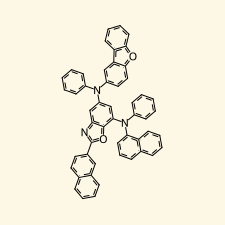 c1ccc(N(c2cc(N(c3ccccc3)c3cccc4ccccc34)c3oc(-c4ccc5ccccc5c4)nc3c2)c2ccc3oc4ccccc4c3c2)cc1